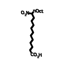 CCCCCCCCC(CCCCCCCCCCC(=O)O)[N+](=O)[O-]